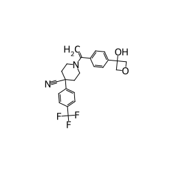 C=C(c1ccc(C2(O)COC2)cc1)N1CCC(C#N)(c2ccc(C(F)(F)F)cc2)CC1